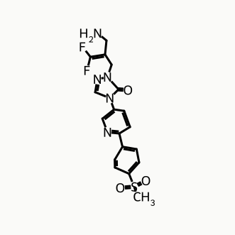 CS(=O)(=O)c1ccc(-c2ccc(-n3cnn(CC(CN)=C(F)F)c3=O)cn2)cc1